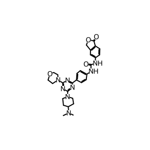 CN(C)C1CCN(c2nc(-c3ccc(NC(=O)Nc4ccc5c(c4)COC5=O)cc3)nc(N3CCOCC3)n2)CC1